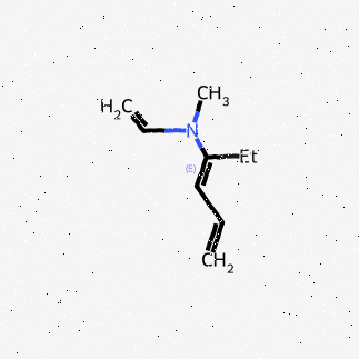 C=C/C=C(\CC)N(C)C=C